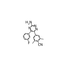 Cc1cc(-c2nnc(N)nc2-c2cccc(F)c2)cc(C)c1C#N